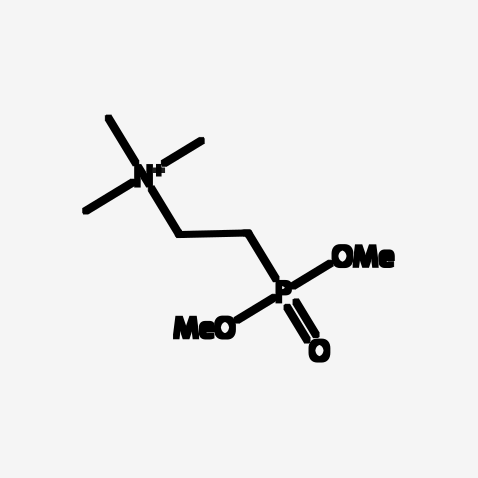 COP(=O)(CC[N+](C)(C)C)OC